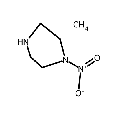 C.O=[N+]([O-])N1CCNCC1